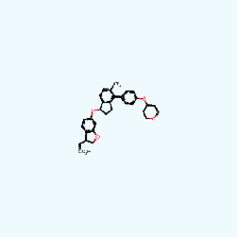 O=C(O)CC1COc2cc(O[C@@H]3CCc4c3ccc(C(F)(F)F)c4-c3ccc(OC4CCOCC4)cc3)ccc21